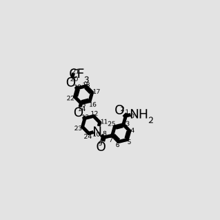 NC(=O)c1cccc(C(=O)N2CCC(Oc3cccc(OC(F)(F)F)c3)CC2)c1